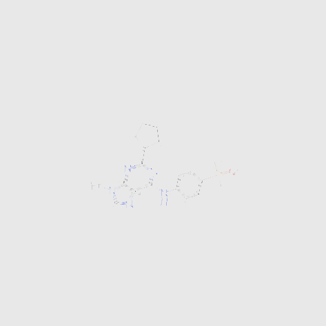 CCn1cnc2c(Nc3ccc(P(C)(C)=O)cc3)nc(C3CCCC3)nc21